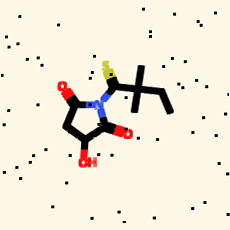 CCC(C)(C)C(=S)N1C(=O)CC(O)C1=O